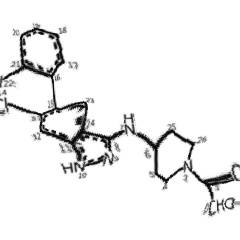 O=CC(=O)N1CCC(Nc2n[nH]c3cc(Cl)c(-c4ccccc4Cl)cc23)CC1